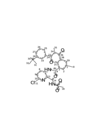 Cc1cc([C@@H](C)Nc2ccc(Cl)nc2C(=O)NS(C)(=O)=O)c2oc(-c3cccc(C(C)(C)C)c3)c(C)c(=O)c2c1